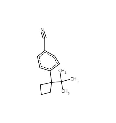 CC(C)(C)C1(c2ccc(C#N)cc2)CCC1